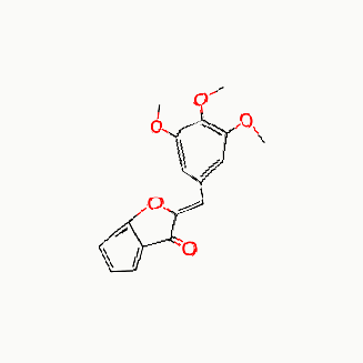 COc1cc(/C=C2\Oc3ccccc3C2=O)cc(OC)c1OC